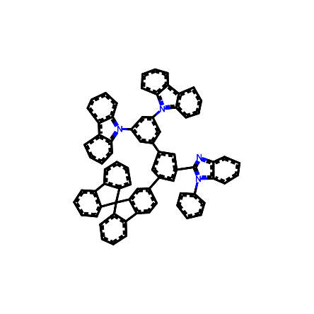 c1ccc(-n2c(-c3cc(-c4cc(-n5c6ccccc6c6ccccc65)cc(-n5c6ccccc6c6ccccc65)c4)cc(-c4ccc5c(c4)C4(c6ccccc6-c6ccccc64)c4ccccc4-5)c3)nc3ccccc32)cc1